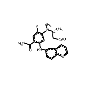 C[C@H](CC=O)N(N)c1nc(Nc2ccc3ncccc3c2)c(C(N)=O)cc1F